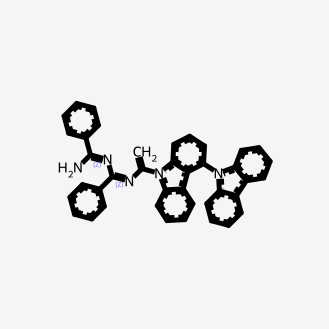 C=C(/N=C(\N=C(/N)c1ccccc1)c1ccccc1)n1c2ccccc2c2c(-n3c4ccccc4c4ccccc43)cccc21